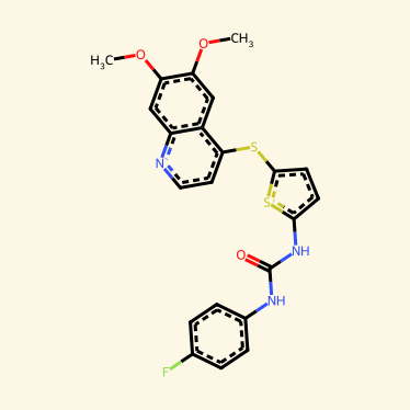 COc1cc2nccc(Sc3ccc(NC(=O)Nc4ccc(F)cc4)s3)c2cc1OC